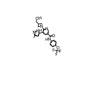 Cc1cc(-c2cc(C(=O)Nc3ccc(OC(F)(F)F)cc3)cnc2N2CC(CO)C2)[nH]n1